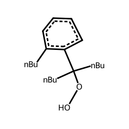 CCCCc1ccccc1C(CCCC)(CCCC)OO